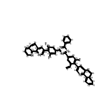 C=Cc1cc(-c2nc(-c3ccccc3)nc(-c3cc(F)c(-c4cnc5c(ccc6cccnc65)c4)c(F)c3)n2)cc(F)c1-c1cnc2c(ccc3ccccc32)c1